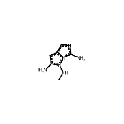 CNn1c(N)cc2cnc(N)n21